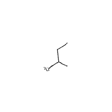 [2Li][CH](C)CC